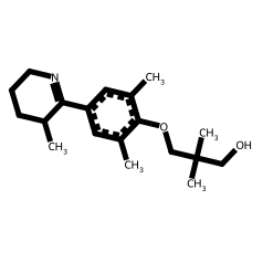 Cc1cc(C2=NCCCC2C)cc(C)c1OCC(C)(C)CO